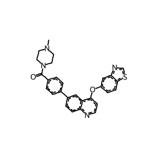 CN1CCN(C(=O)c2ccc(-c3ccc4nccc(Oc5ccc6scnc6c5)c4c3)cc2)CC1